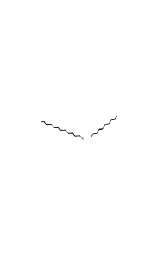 C/C=C/CC/C=C/CC/C=C/CC=C=CCC/C=C/CCCCC